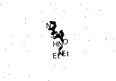 CCN(CC)CCNC(=O)c1ccn2c1CSC2c1cccnc1